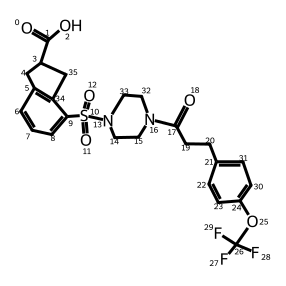 O=C(O)C1Cc2cccc(S(=O)(=O)N3CCN(C(=O)CCc4ccc(OC(F)(F)F)cc4)CC3)c2C1